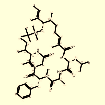 C/C=C(\C)[C@@H](O[Si](C)(C)C(C)(C)C)[C@@H](C)CC/C=C(\C)C(=O)O[C@H](CC(C)C)C(=O)N[C@@H](C)C(=O)N(C)[C@H](Cc1ccccc1)C(=O)N(C)CC(=O)N[C@H](C(C)=O)C(C)CC